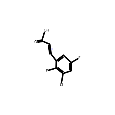 O=C(O)/C=C/c1cc(F)cc(Cl)c1F